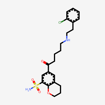 NS(=O)(=O)c1cc(C(=O)CCCCNCCc2ccccc2Cl)cc2c1OCCC2